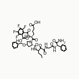 CCCC(NC(=O)[C@@H]1C[C@@H](OCc2ccccc2)CN1C(=O)[C@H](CCCC(=O)O)NC(=O)c1c(F)c(F)c(F)c(F)c1C(=O)O)C(=O)C(=O)NCC(=O)N[C@H](C(N)=O)c1ccccc1